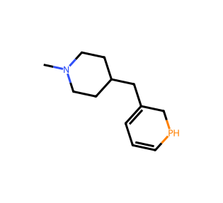 CN1CCC(CC2=CC=CPC2)CC1